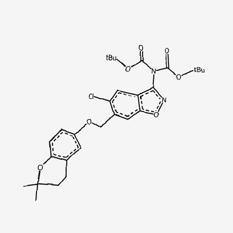 CC(C)(C)OC(=O)N(C(=O)OC(C)(C)C)c1noc2cc(COc3ccc4c(c3)CCC(C)(C)O4)c(Cl)cc12